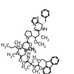 CC[C@H](C)[C@@H]([C@@H](CC(=O)N1CCC[C@H]1C(OC)[C@@H](C)C(=S)N[C@@H](Cc1ccccc1)c1nccs1)OC)N(C)C(=O)[C@@H](NC(=O)C(C)(C)N(C)C(=O)OCC1c2ccccc2-c2ccccc21)C(C)C